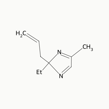 C=CCC1(CC)N=CC(C)=N1